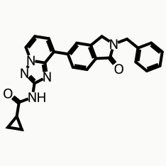 O=C(Nc1nc2c(-c3ccc4c(c3)CN(Cc3ccccc3)C4=O)cccn2n1)C1CC1